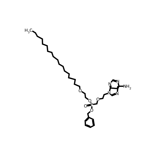 CCCCCCCCCCCCCCCCCCOCCOP(=O)(COCCn1cnc2c(N)ncnc21)OCc1ccccc1